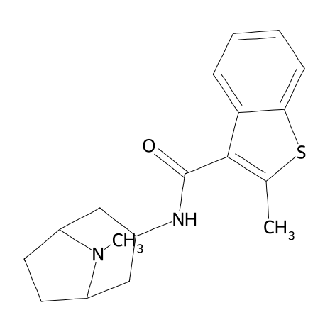 Cc1sc2ccccc2c1C(=O)NC1CC2CCC(C1)N2C